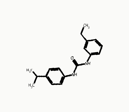 CCc1cccc(NC(=O)Nc2ccc(C(C)C)cc2)c1